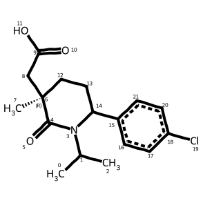 CC(C)N1C(=O)[C@@](C)(CC(=O)O)CCC1c1ccc(Cl)cc1